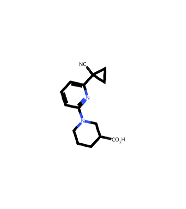 N#CC1(c2cccc(N3CCCC(C(=O)O)C3)n2)CC1